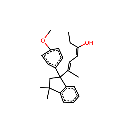 CC/C(O)=C\C=C(/C)C1(c2ccc(OC)cc2)CC(C)(C)c2ccccc21